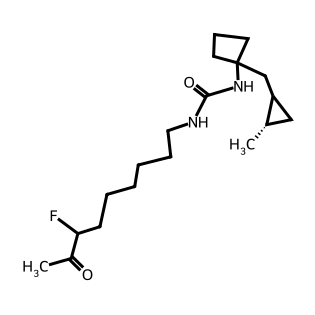 CC(=O)C(F)CCCCCCNC(=O)NC1(CC2C[C@@H]2C)CCC1